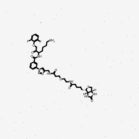 NCCCCC(NC(=O)c1cccc(-n2cc(CNC(=O)CCOCCNC(=O)CCCC[C@@H]3SC[C@@H]4NC(=O)N[C@@H]43)nn2)c1)C(=O)COc1c(F)cccc1F